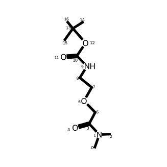 CN(C)C(=O)COCCNC(=O)OC(C)(C)C